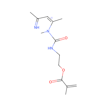 C=C(C)C(=O)OCCNC(=O)N(C)/C(C)=C\C(C)=N